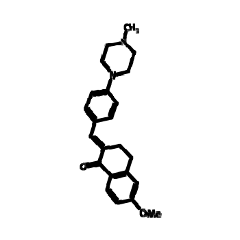 COc1ccc2c(c1)CCC(=Cc1ccc(N3CCN(C)CC3)cc1)C2=O